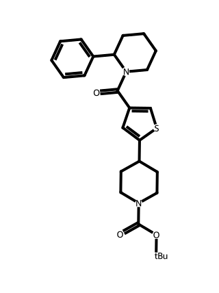 CC(C)(C)OC(=O)N1CCC(c2cc(C(=O)N3CCCCC3c3ccccc3)cs2)CC1